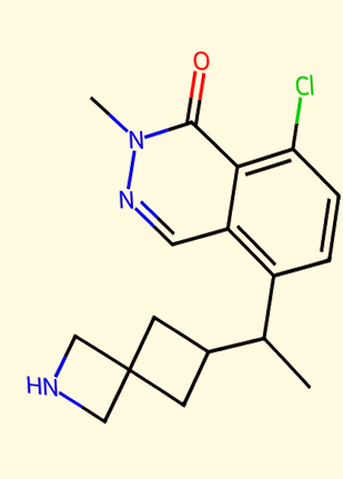 CC(c1ccc(Cl)c2c(=O)n(C)ncc12)C1CC2(CNC2)C1